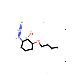 CCCCO[C@H]1CCC[C@@H](N=[N+]=[N-])[C@@H]1O